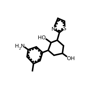 Cc1cc(N)cc(C2CC(O)CC(c3nccs3)C2O)c1